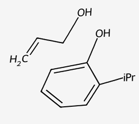 C=CCO.CC(C)c1ccccc1O